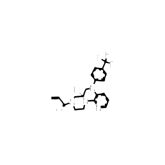 C=CC(=O)N1CCN2c3ncccc3N(c3ccc(C(F)(F)F)cc3)C[C@H]2C1